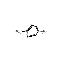 CCC(C)c1ccc(C(=O)O)cc1